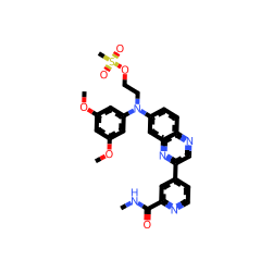 CNC(=O)c1cc(-c2cnc3ccc(N(CCOS(C)(=O)=O)c4cc(OC)cc(OC)c4)cc3n2)ccn1